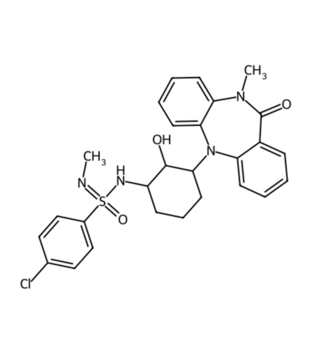 CN=S(=O)(NC1CCCC(N2c3ccccc3C(=O)N(C)c3ccccc32)C1O)c1ccc(Cl)cc1